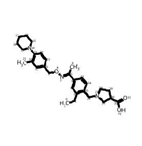 CCc1cc(C(C)=NOCc2ccc(N3CCCCC3)c(C)c2)ccc1CN1CCC(C(=O)O)C1